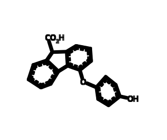 O=C(O)C1c2ccccc2-c2c(Oc3ccc(O)cc3)cccc21